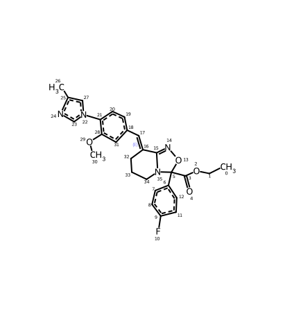 CCOC(=O)C1(c2ccc(F)cc2)ON=C2/C(=C/c3ccc(-n4cnc(C)c4)c(OC)c3)CCCN21